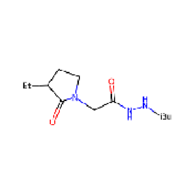 CCC(C)NNC(=O)CN1CCC(CC)C1=O